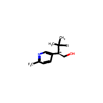 CCC(C)(C)[C@@H](CO)c1ccc(C(F)(F)F)nc1